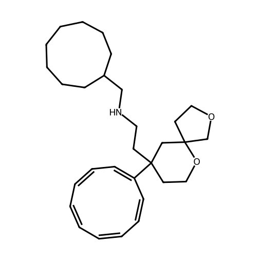 c1ccccc(C2(CCNCC3CCCCCCCC3)CCOC3(CCOC3)C2)cccc1